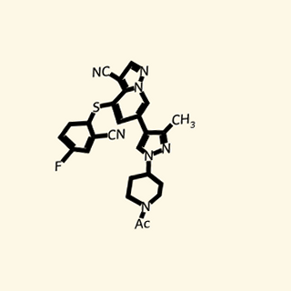 CC(=O)N1CCC(n2cc(-c3cc(SC4CC=C(F)C=C4C#N)c4c(C#N)cnn4c3)c(C)n2)CC1